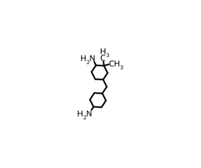 CC1(C)CC(CC2CCC(N)CC2)CCC1N